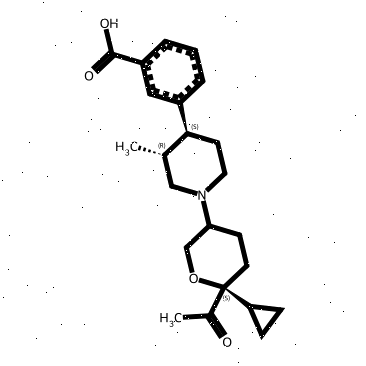 CC(=O)[C@@]1(C2CC2)CCC(N2CC[C@H](c3cccc(C(=O)O)c3)[C@@H](C)C2)CO1